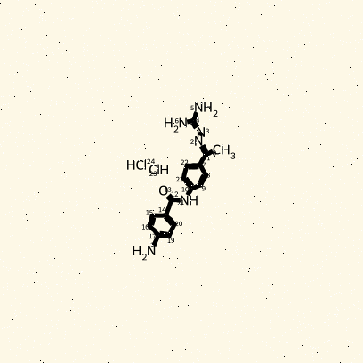 CC(=NN=C(N)N)c1ccc(NC(=O)c2ccc(N)cc2)cc1.Cl.Cl